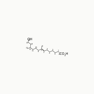 C/C(=C\CCCCCC(=O)O)CCCC(C)CCO